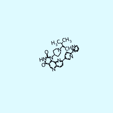 C=C(C(C)C)N1CCC(n2c(=O)[nH]c(=O)c3cnc4ccc(-c5ccc(-n6cccn6)nc5)nc4c32)CC1